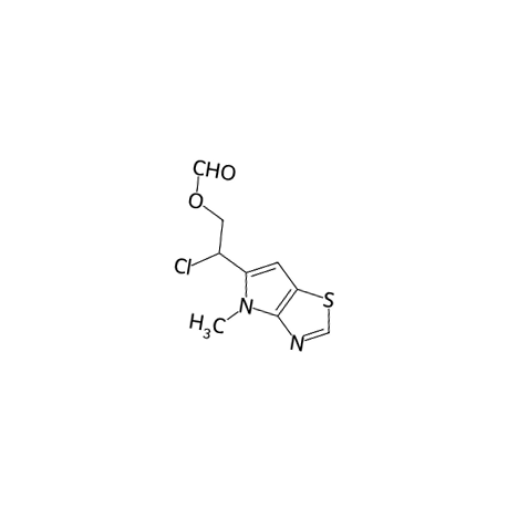 Cn1c(C(Cl)COC=O)cc2scnc21